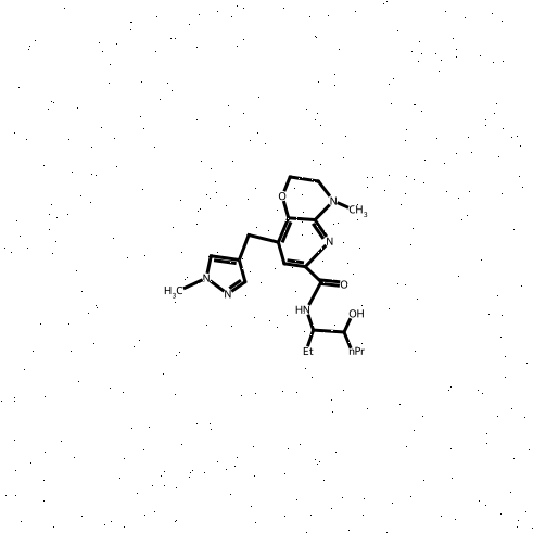 CCCC(O)C(CC)NC(=O)c1cc(Cc2cnn(C)c2)c2c(n1)N(C)CCO2